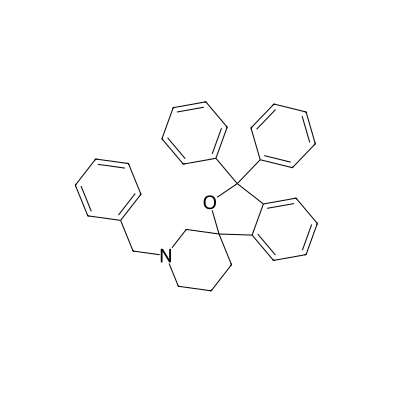 c1ccc(CN2CCCC3(C2)OC(c2ccccc2)(c2ccccc2)c2ccccc23)cc1